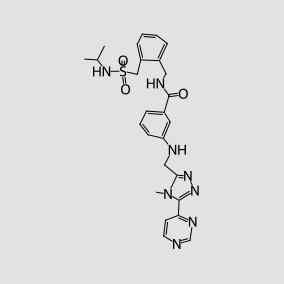 CC(C)NS(=O)(=O)Cc1ccccc1CNC(=O)c1cccc(NCc2nnc(-c3ccncn3)n2C)c1